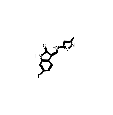 Cc1cc(NC=C2C(=O)Nc3cc(F)ccc32)n[nH]1